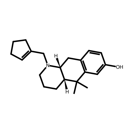 CC1(C)c2cc(O)ccc2C[C@@H]2[C@H]1CCCN2CC1=CCCC1